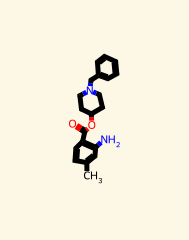 Cc1ccc(C(=O)OC2CCN(Cc3ccccc3)CC2)c(N)c1